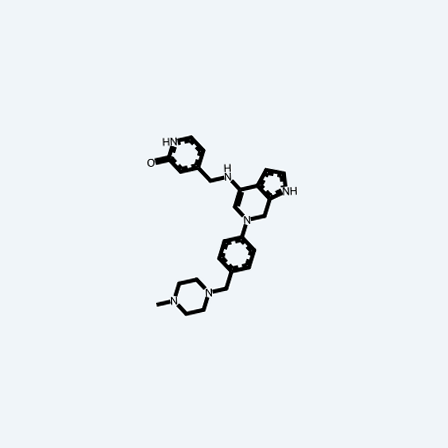 CN1CCN(Cc2ccc(N3C=C(NCc4cc[nH]c(=O)c4)c4cc[nH]c4C3)cc2)CC1